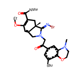 CCOC1=C(C(=O)NC)C[C@@]2(C)C(=C1)CN(CC(=O)c1cc3c(c(C(C)(C)C)c1)OCCN3C)/C2=N\Br